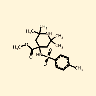 COC(=O)C1(NS(=O)(=O)c2ccc(C)cc2)CC(C)(C)NC(C)(C)C1